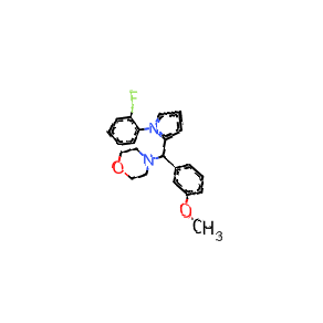 COc1cccc(C(c2cccn2-c2ccccc2F)N2CCOCC2)c1